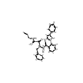 C=CCNC(=O)C(=O)[C@H](Cc1ccccc1)NC(=O)c1cccnc1-n1ccc(-c2ccccc2)n1